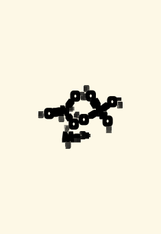 O=S(=O)([O-])[O-].O=[N+]([O-])[O-].[Mn+3]